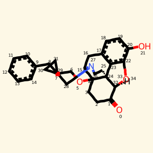 O=C1CCC2(OCCCc3ccccc3)C3Cc4ccc(O)c5c4[C@@]2(CCN3CC2CC2)[C@H]1O5